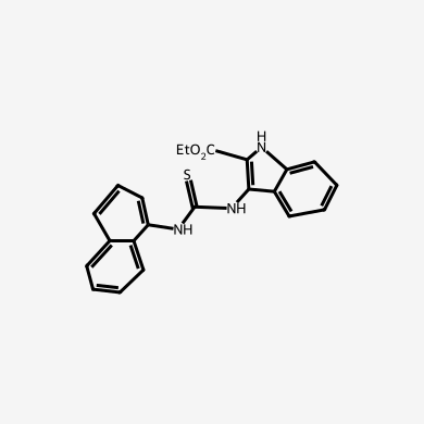 CCOC(=O)c1[nH]c2ccccc2c1NC(=S)Nc1cccc2ccccc12